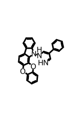 N=C/C(=C\Nn1c2ccccc2c2ccc3c(c21)Oc1ccccc1O3)c1ccccc1